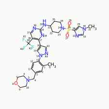 Cc1cc(CN2CCOCC2)ccc1-n1cc(-c2nc(NC3CCN(S(=O)(=O)c4cn(C)cn4)CC3)ncc2C(F)(F)F)cn1